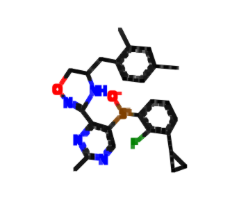 Cc1ccc(CC2CON=C(c3nc(C)ncc3[S+]([O-])c3cccc(C4CC4)c3F)N2)c(C)c1